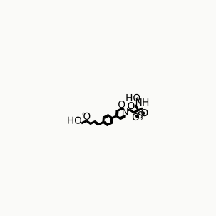 COC(CO)CC=Cc1ccc(-c2ccn(CCC(C)(C(=O)NO)S(C)(=O)=O)c(=O)c2)cc1